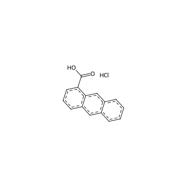 Cl.O=C(O)c1cccc2cc3ccccc3cc12